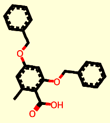 Cc1cc(OCc2ccccc2)cc(OCc2ccccc2)c1C(=O)O